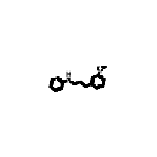 COc1cccc(CCCNc2ccccc2)c1